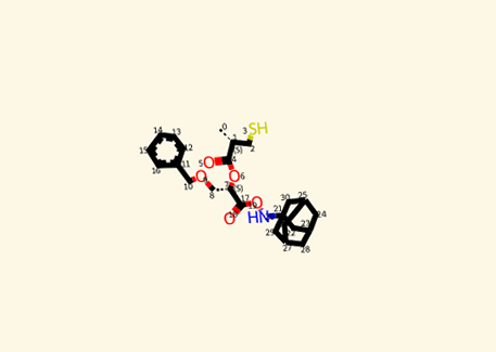 C[C@H](CS)C(=O)O[C@@H](COCc1ccccc1)C(=O)ONC12CC3CC(CC(C3)C1)C2